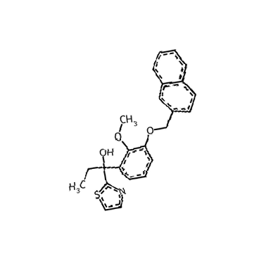 CCC(O)(c1nccs1)c1cccc(OCc2ccc3ccccc3c2)c1OC